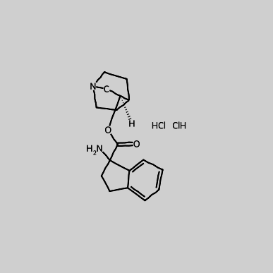 Cl.Cl.NC1(C(=O)O[C@H]2CN3CCC2CC3)CCc2ccccc21